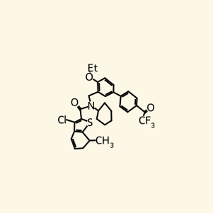 CCOc1ccc(-c2ccc(C(=O)C(F)(F)F)cc2)cc1CN(C(=O)c1sc2c(c1Cl)C=CCC2C)C1CCCCC1